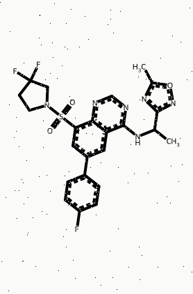 Cc1nc(C(C)Nc2ncnc3c(S(=O)(=O)N4CCC(F)(F)C4)cc(-c4ccc(F)cc4)cc23)no1